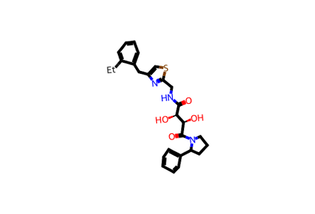 CCc1ccccc1Cc1csc(CNC(=O)[C@H](O)[C@@H](O)C(=O)N2CCCC2c2ccccc2)n1